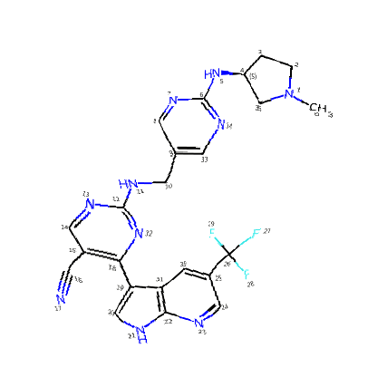 CN1CC[C@H](Nc2ncc(CNc3ncc(C#N)c(-c4c[nH]c5ncc(C(F)(F)F)cc45)n3)cn2)C1